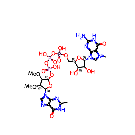 COC1[C@@H](OP(=O)(O)OP(=O)(O)OP(=O)(O)OC[C@H]2O[C@@H](n3c[n+](C)c4c(=O)[nH]c(N)nc43)C(O)[C@H]2O)O[C@@H](n2cnc3c(=O)[nH]c(C)nc32)[C@H]1OC